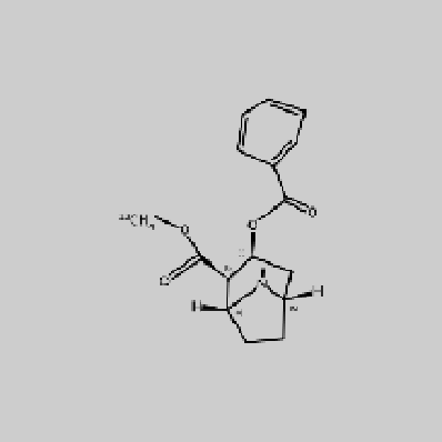 COC(=O)[C@H]1[C@@H](OC(=O)c2ccccc2)C[C@@H]2CC[C@H]1N2C.[13CH4]